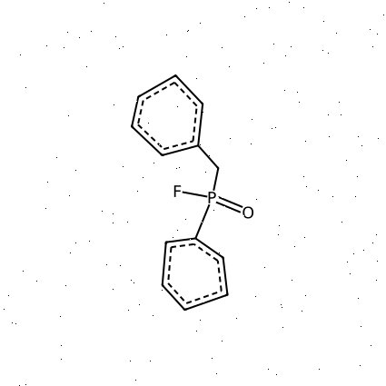 O=P(F)(Cc1ccccc1)c1ccccc1